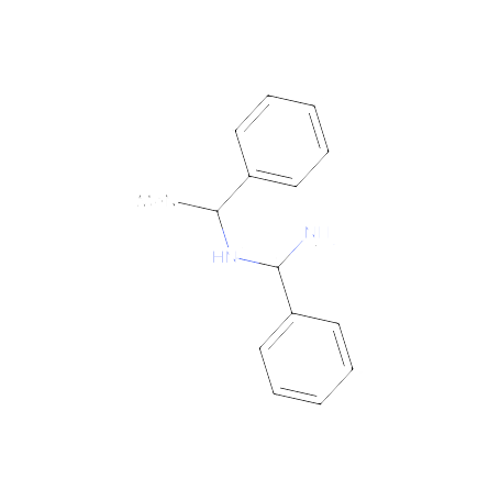 CNC(NC(N)c1ccccc1)c1ccccc1